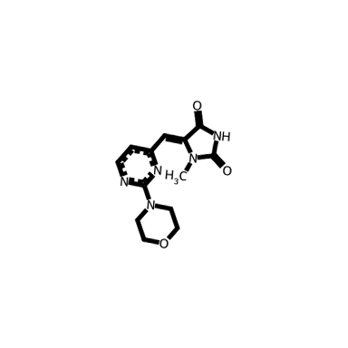 CN1C(=O)NC(=O)C1=Cc1ccnc(N2CCOCC2)n1